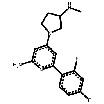 CNC1CCN(c2cc(N)nc(-c3ccc(F)cc3F)c2)C1